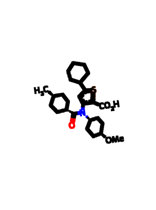 CO[C@H]1CC[C@H](N(c2cc(C3CCCCC3)sc2C(=O)O)C(=O)[C@H]2CC[C@H](C)CC2)CC1